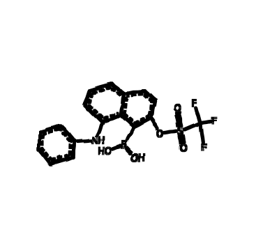 O=S(=O)(Oc1ccc2cccc(Nc3ccccc3)c2c1B(O)O)C(F)(F)F